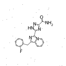 NC(=O)c1n[nH]c(-c2nc(Cc3ccccc3F)c3ccccn23)n1